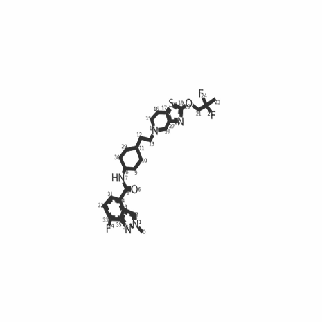 Cn1cc2c(C(=O)NC3CCC(CCN4CCc5sc(OCC(C)(F)F)nc5C4)CC3)ccc(F)c2n1